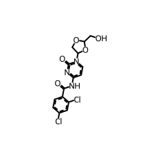 O=C(Nc1ccn(C2COC(CO)O2)c(=O)n1)c1ccc(Cl)cc1Cl